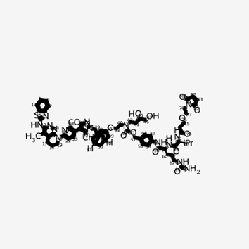 Cc1c(Nc2nc3ccccc3s2)nnc2c1CCCN2c1ccc(-c2cnn(CC34C[C@H]5C[C@@H](C3)CC(OCCN(CC[C@H](O)CO)C(=O)OCc3ccc(NC(=O)[C@H](CCCNC(N)=O)NC(=O)[C@@H](NC(=O)CCOCCN6C(=O)C=CC6=O)C(C)C)cc3)(C5)C4)c2C)c(C(=O)O)n1